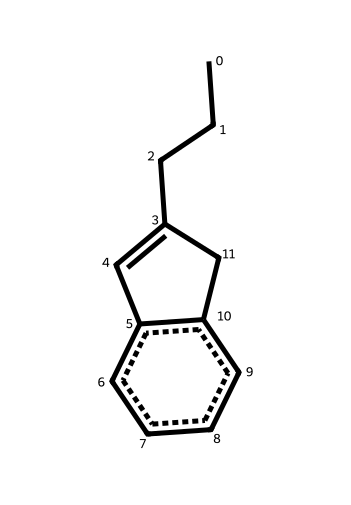 CCCC1=Cc2ccccc2C1